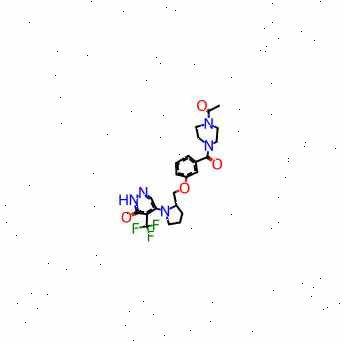 CC(=O)N1CCN(C(=O)c2cccc(OCC3CCCN3c3cn[nH]c(=O)c3C(F)(F)F)c2)CC1